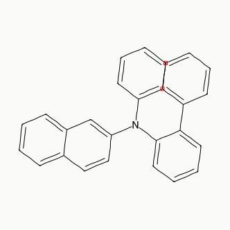 c1ccc(-c2ccccc2N(c2ccccc2)c2ccc3ccccc3c2)cc1